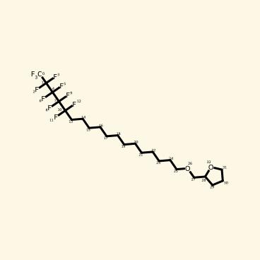 FC(F)(F)C(F)(F)C(F)(F)C(F)(F)C(F)(F)CCCCCCCCCCCCCOCC1CCCO1